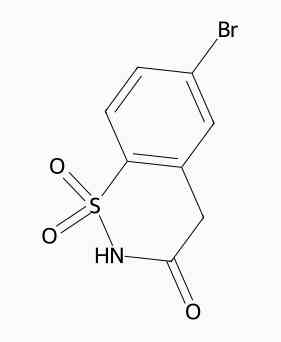 O=C1Cc2cc(Br)ccc2S(=O)(=O)N1